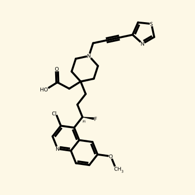 COc1ccc2ncc(Cl)c([C@H](F)CCC3(CC(=O)O)CCN(CC#Cc4cscn4)CC3)c2c1